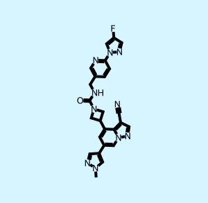 Cn1cc(-c2cc(C3CN(C(=O)NCc4ccc(-n5cc(F)cn5)nc4)C3)c3c(C#N)cnn3c2)cn1